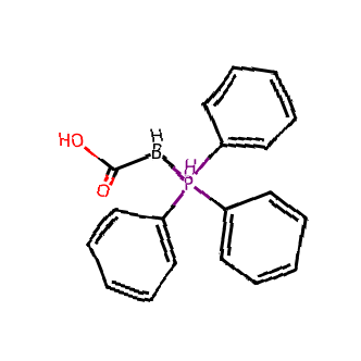 O=C(O)B[PH](c1ccccc1)(c1ccccc1)c1ccccc1